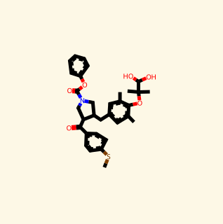 CSc1ccc(C(=O)C2CN(C(=O)Oc3ccccc3)CC2Cc2cc(C)c(OC(C)(C)C(O)O)c(C)c2)cc1